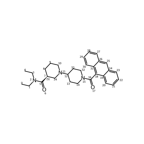 CCN(CC)C(=O)[C@H]1CCCN(C2CCN(C(=O)c3c4ccccc4cc4ccccc34)CC2)C1